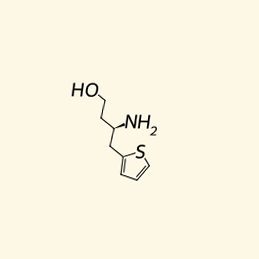 N[C@H](CCO)Cc1cccs1